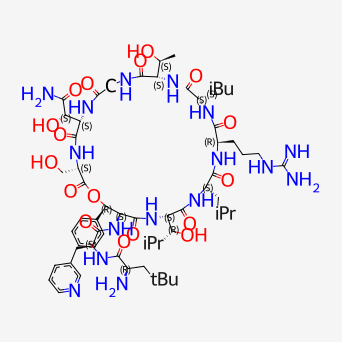 CC[C@H](C)[C@@H]1NC(=O)[C@@H](CCCNC(=N)N)NC(=O)[C@H](CC(C)C)NC(=O)[C@H]([C@H](O)C(C)C)NC(=O)[C@@H](NC(=O)[C@H](Cc2cccnc2)NC(=O)[C@H](N)CC(C)(C)C)[C@@H](c2ccccc2)OC(=O)[C@H](CO)NC(=O)[C@H]([C@H](O)C(N)=O)NC(=O)CNC(=O)[C@H]([C@H](C)O)NC1=O